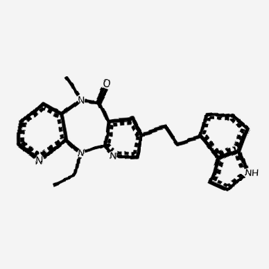 CCN1c2ncc(CCc3cccc4[nH]ccc34)cc2C(=O)N(C)c2cccnc21